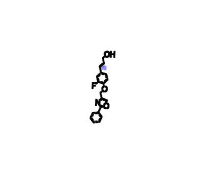 OC/C=C/c1ccc(OCc2coc(-c3ccccc3)n2)c(F)c1